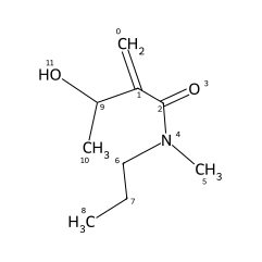 C=C(C(=O)N(C)CCC)C(C)O